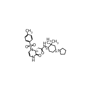 Cc1ccc(S(=O)(=O)N2C=CNC(=O)[C@H]2CC(=O)N[C@@H]2CC[C@@H](N3CCCC3)CC2(C)C)cc1